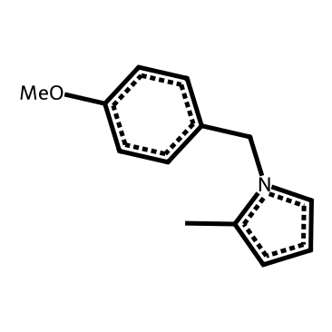 COc1ccc(Cn2cccc2C)cc1